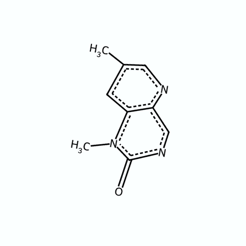 Cc1cnc2cnc(=O)n(C)c2c1